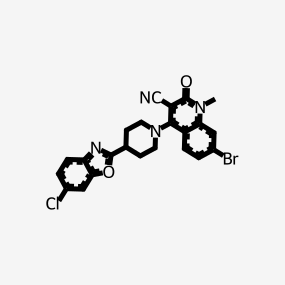 Cn1c(=O)c(C#N)c(N2CCC(c3nc4ccc(Cl)cc4o3)CC2)c2ccc(Br)cc21